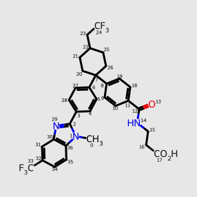 Cn1c(-c2ccc(C3(c4ccc(C(=O)NCCC(=O)O)cc4)CCC(CC(F)(F)F)CC3)cc2)nc2cc(C(F)(F)F)ccc21